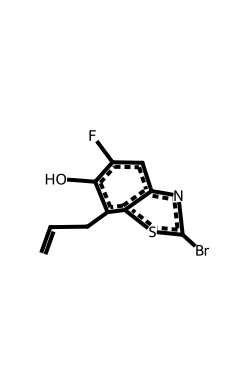 C=CCc1c(O)c(F)cc2nc(Br)sc12